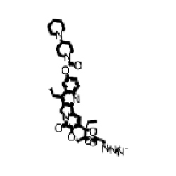 CCc1c2c(nc3ccc(OC(=O)N4CCC(N5CCCCC5)CC4)cc13)-c1cc3c(c(=O)n1C2)OCC(=O)[C@@]3(CC)OC(=O)CN=[N+]=[N-]